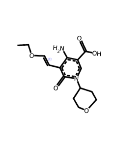 CCO/C=C/c1c(N)c(C(=O)O)cn(C2CCOCC2)c1=O